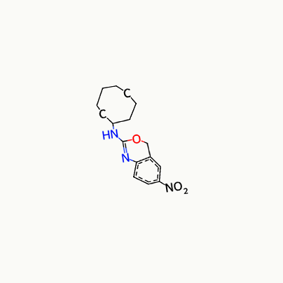 O=[N+]([O-])c1ccc2c(c1)COC(NC1CCCCCCC1)=N2